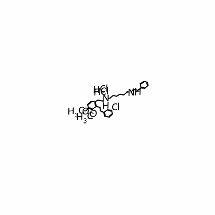 COc1ccc(CCNCCCCCCNCCc2ccccc2)c(CCc2cccc(Cl)c2)c1OC.Cl.Cl